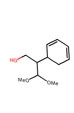 COC(OC)C(CO)C1C=CC=CC1